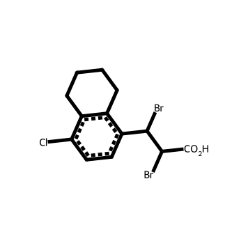 O=C(O)C(Br)C(Br)c1ccc(Cl)c2c1CCCC2